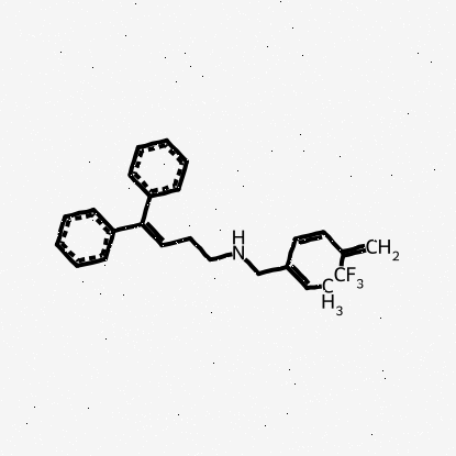 C=C(/C=C\C(=C/C)CNCCC=C(c1ccccc1)c1ccccc1)C(F)(F)F